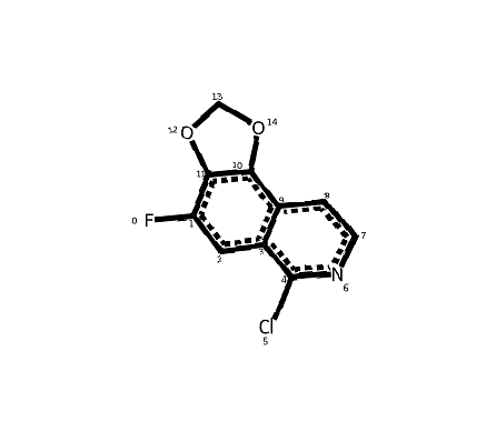 Fc1cc2c(Cl)nccc2c2c1OCO2